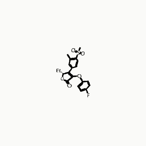 CC[C@H]1OC(=O)C(Oc2ccc(F)cc2)=C1c1ccc(S(C)(=O)=O)c(C)c1